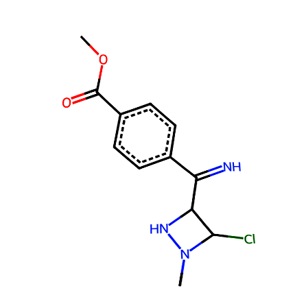 COC(=O)c1ccc(C(=N)C2NN(C)C2Cl)cc1